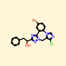 OC(Cc1ccccc1)c1nc2n(n1)Cc1c(Cl)ncn1-c1ccc(Br)cc1-2